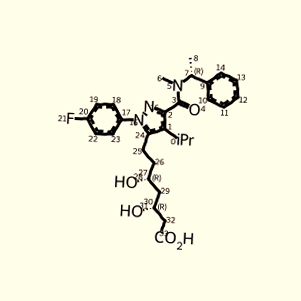 CC(C)c1c(C(=O)N(C)[C@H](C)c2ccccc2)nn(-c2ccc(F)cc2)c1CC[C@@H](O)C[C@@H](O)CC(=O)O